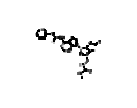 CNC(=O)NC[C@H]1O[C@@H](n2cnc3c(NC(=O)Nc4ccccc4)ncnc32)C2OC(=O)CC21